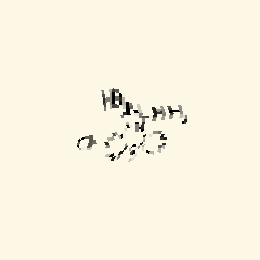 Br.NC1=NCC2c3cc(Cl)ccc3Sc3ccccc3N12